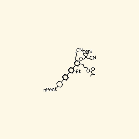 C=C(C)C(=O)OCCCc1cc(-c2ccc(-c3ccc(C4CCC(CCCCC)CC4)cc3)cc2CC)cc(CCCC#N)c1OCC(CC#N)(CC#N)CC#N